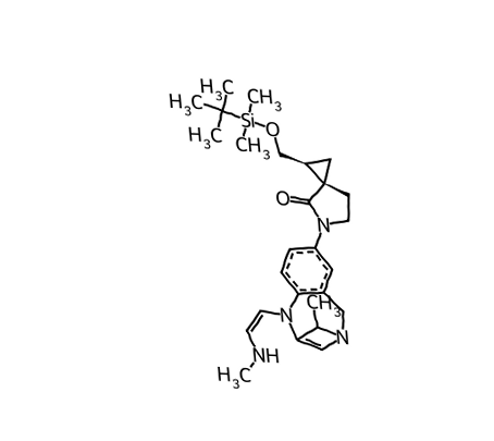 CN/C=C\N1C2=CN(Cc3cc(N4CC[C@@]5(C[C@@H]5CO[Si](C)(C)C(C)(C)C)C4=O)ccc31)C2C